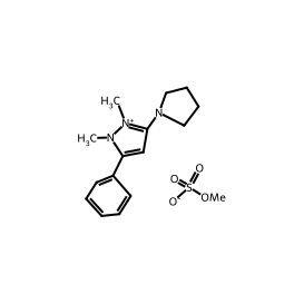 COS(=O)(=O)[O-].Cn1c(-c2ccccc2)cc(N2CCCC2)[n+]1C